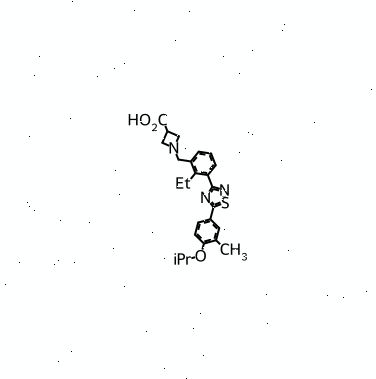 CCc1c(CN2CC(C(=O)O)C2)cccc1-c1nsc(-c2ccc(OC(C)C)c(C)c2)n1